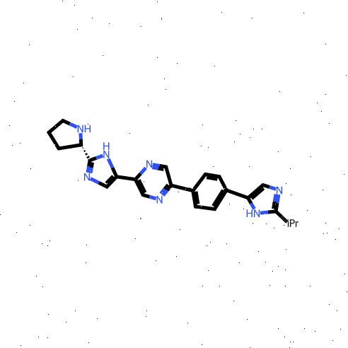 CC(C)c1ncc(-c2ccc(-c3cnc(-c4cnc([C@@H]5CCCN5)[nH]4)cn3)cc2)[nH]1